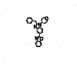 c1ccc(Cc2nc3cc(-c4nc5ccccc5o4)ccc3n2C2CCOCC2)cc1